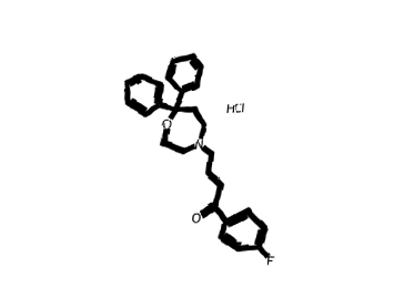 Cl.O=C(CCCN1CCOC(c2ccccc2)(c2ccccc2)CC1)c1ccc(F)cc1